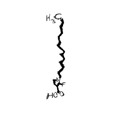 CCCCCCCCCCCCCCn1ccc(C(=O)O)c1F